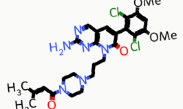 COc1cc(OC)c(Cl)c(-c2cc3cnc(N)nc3n(CCCN3CCN(C(=O)C=C(C)C)CC3)c2=O)c1Cl